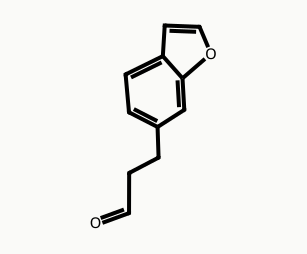 O=CCCc1ccc2ccoc2c1